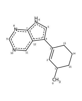 CC1C=C(c2c[nH]c3ncncc23)CCC1